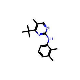 Cc1cnc(Nc2cccc(C)c2C)nc1C(C)(C)C